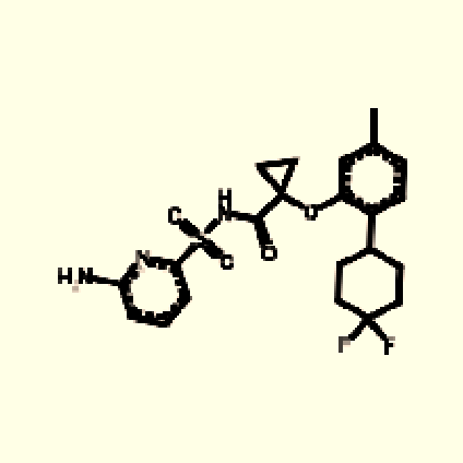 Cc1ccc(C2CCC(F)(F)CC2)c(OC2(C(=O)NS(=O)(=O)c3cccc(N)n3)CC2)c1